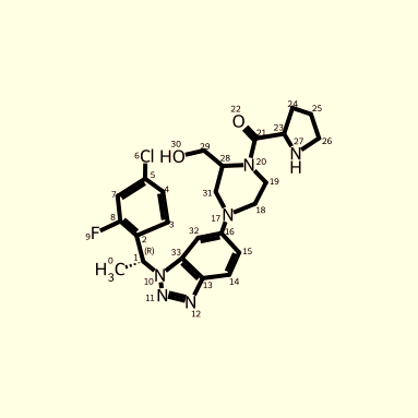 C[C@H](c1ccc(Cl)cc1F)n1nnc2ccc(N3CCN(C(=O)C4CCCN4)C(CO)C3)cc21